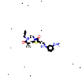 C#CCNC(=O)C(=C=c1sc(=C=CNc2cccc(N)c2)c(=O)n1CC)C#N